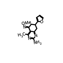 CON=C1CC(c2ccco2)Cc2nc(N)nc(C)c21